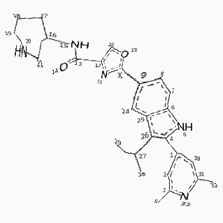 Cc1cc(-c2[nH]c3ccc(-c4nc(C(=O)NC5CCCNC5)co4)cc3c2C(C)C)cc(C)n1